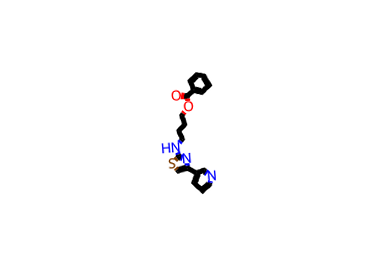 O=C(OCCCCNc1nc(-c2cccnc2)cs1)c1ccccc1